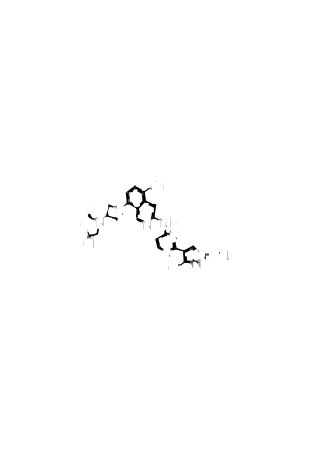 CC(C)c1ccc(N2CC(N3C[C@@H](C)OC3=O)C2)c2cnc(Nc3ccnc(-c4cn(C)nc4Cl)n3)cc12